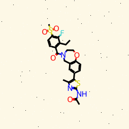 CCc1c(C(=O)N2CCOc3ccc(-c4sc(NC(C)=O)nc4C)cc3C2)ccc(S(C)(=O)=O)c1F